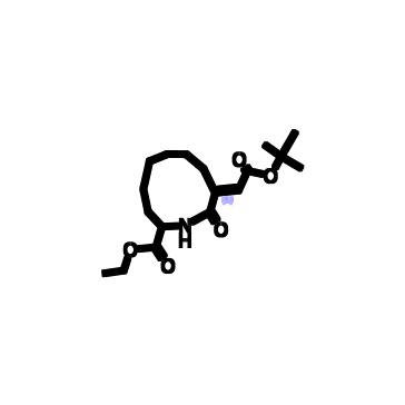 CCOC(=O)C1CCCCCC/C(=C\C(=O)OC(C)(C)C)C(=O)N1